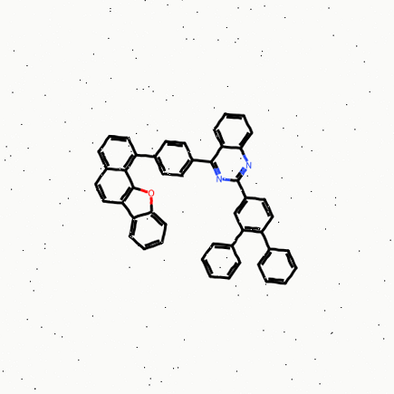 c1ccc(-c2ccc(-c3nc(-c4ccc(-c5cccc6ccc7c8ccccc8oc7c56)cc4)c4ccccc4n3)cc2-c2ccccc2)cc1